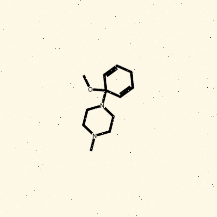 COC1(N2CCN(C)CC2)C=C[CH]C=C1